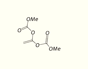 C=C(OC(=O)OC)OC(=O)OC